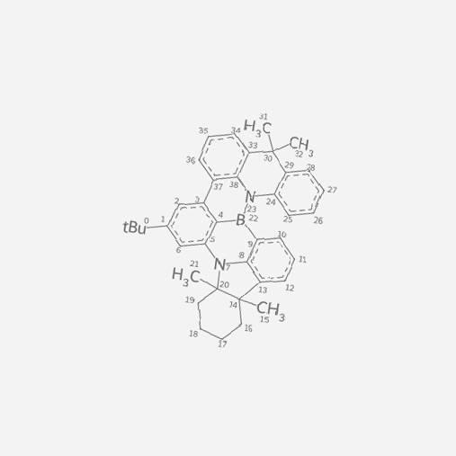 CC(C)(C)c1cc2c3c(c1)N1c4c(cccc4C4(C)CCCCC14C)B3N1c3ccccc3C(C)(C)c3cccc-2c31